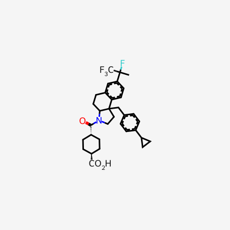 CC(F)(c1ccc2c(c1)CCC1N(C(=O)[C@H]3CC[C@H](C(=O)O)CC3)CCC21Cc1ccc(C2CC2)cc1)C(F)(F)F